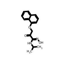 CC(C)NC(=NO)C(=O)COc1cccc2ccccc12